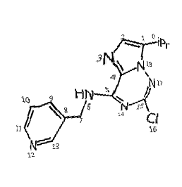 CC(C)c1cnc2c(NCc3cccnc3)nc(Cl)nn12